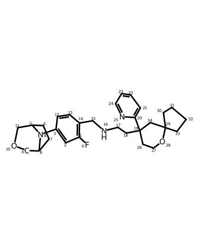 Fc1cc(N2C3CCC2COC3)ccc1CNCCC1(c2ccccn2)CCOC2(CCCC2)C1